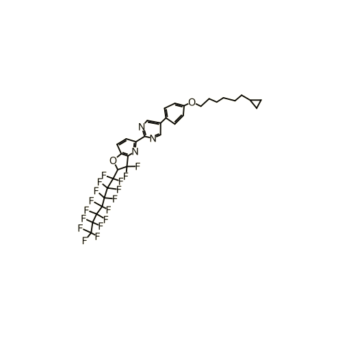 FC1(F)c2nc(-c3ncc(-c4ccc(OCCCCCCC5CC5)cc4)cn3)ccc2OC1C(F)(F)C(F)(F)C(F)(F)C(F)(F)C(F)(F)C(F)(F)C(F)(F)F